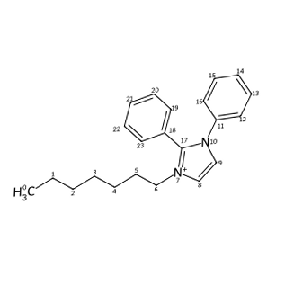 CCCCCCC[n+]1ccn(-c2ccccc2)c1-c1ccccc1